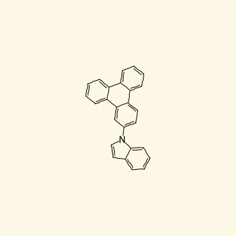 c1ccc2c(c1)ccn2-c1ccc2c3ccccc3c3ccccc3c2c1